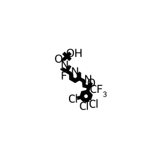 CC(C)(O)C(=O)N1CC(F)(c2ccc(C3=NOC(c4cc(Cl)c(Cl)c(Cl)c4)(C(F)(F)F)C3)cn2)C1